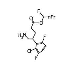 CCCC(F)OC(=O)CCC(CN)c1c(F)ccc(F)c1Cl